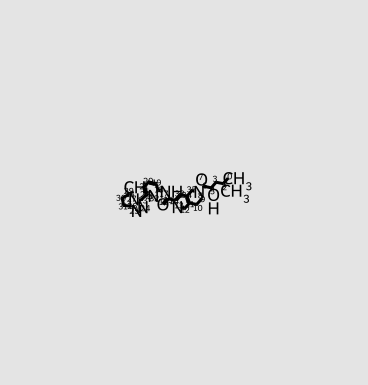 CC(C)C[C@H](O)C(=O)N1CCc2cnc(C(=O)Nc3cccc(-c4nnc5n4[C@H](C)CC5)n3)cc2C1